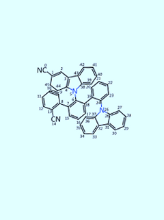 N#CC1=Cc2c(n(-c3c(-c4c#cccc4C#N)cccc3-c3ccccc3-n3c4ccccc4c4ccccc43)c3ccccc23)CC1